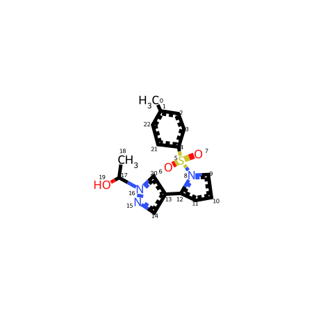 Cc1ccc(S(=O)(=O)n2cccc2-c2cnn(C(C)O)c2)cc1